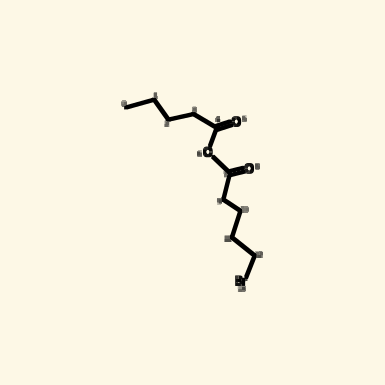 CCCCC(=O)OC(=O)CCCCBr